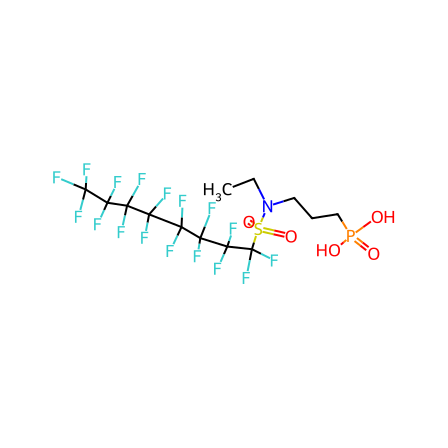 CCN(CCCP(=O)(O)O)S(=O)(=O)C(F)(F)C(F)(F)C(F)(F)C(F)(F)C(F)(F)C(F)(F)C(F)(F)C(F)(F)F